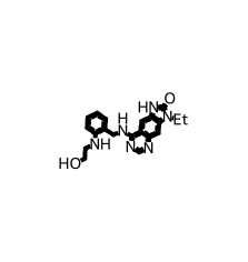 CCn1c(=O)[nH]c2cc3c(NCc4ccccc4NCCO)ncnc3cc21